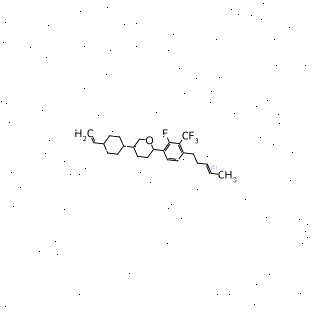 C=CC1CCC(C2CCC(c3ccc(CC/C=C/C)c(C(F)(F)F)c3F)OC2)CC1